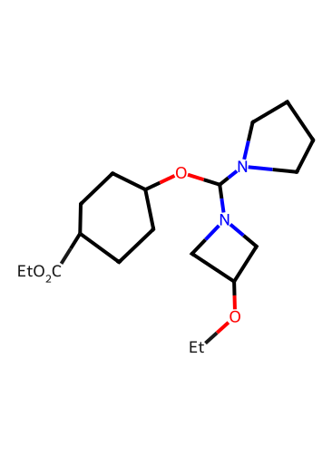 CCOC(=O)C1CCC(OC(N2CCCC2)N2CC(OCC)C2)CC1